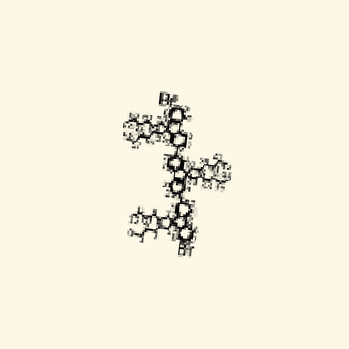 CCCCCCC1(CCCCCC)c2cc(Br)ccc2-c2ccc(-c3ccc4c(c3)C(CCCCCC)(CCCCCC)c3cc(-c5ccc6c(c5)C(CCCCCC)(CCCCCC)c5cc(Br)ccc5-6)ccc3-4)cc21